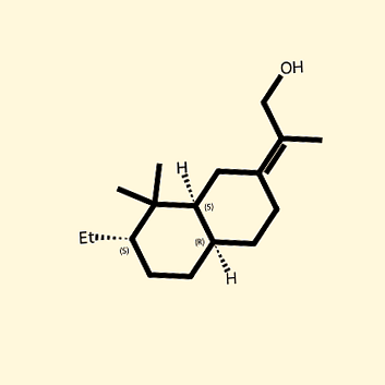 CC[C@H]1CC[C@@H]2CCC(=C(C)CO)C[C@@H]2C1(C)C